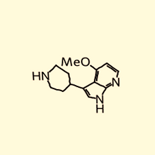 COc1ccnc2[nH]cc(C3CCNCC3)c12